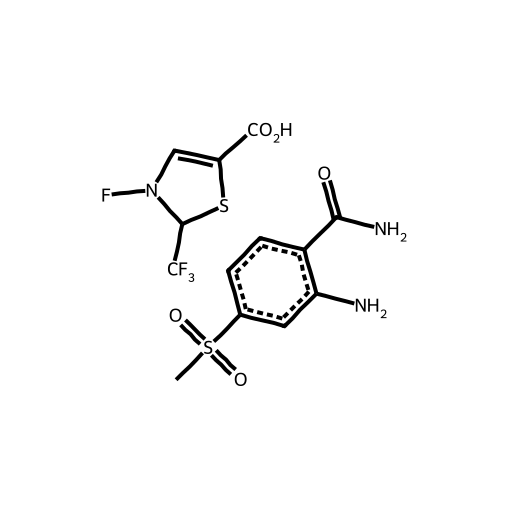 CS(=O)(=O)c1ccc(C(N)=O)c(N)c1.O=C(O)C1=CN(F)C(C(F)(F)F)S1